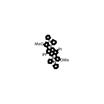 COc1cc2c3c(c1)N(c1ccccc1)c1ccccc1B3c1cc3c(C(C)C)cc4c5c(cc6c(C(C)C)cc-2c1c6c35)B1c2ccccc2N(c2ccccc2)c2cc(OC)cc-4c21